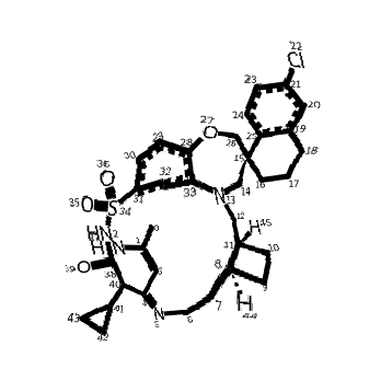 C/C(N)=C/C1=N\CC[C@@H]2CC[C@H]2CN2C[C@@]3(CCCc4cc(Cl)ccc43)COc3ccc(cc32)S(=O)(=O)NC(=O)C1C1CC1